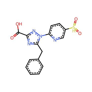 O=C(O)c1nc(Cc2ccccc2)n(-c2ccc([SH](=O)=O)cn2)n1